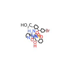 CN1C(C(=O)Nc2ccccn2)=C(O)c2ccccc2S1(=O)=O.Nc1c(CC(=O)O)cccc1C(=O)c1ccc(Br)cc1